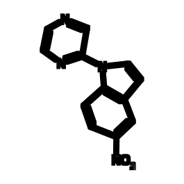 O=[N+]([O-])c1ccc2c(ccn2-c2cnccn2)c1